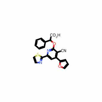 N#Cc1c(-c2ccco2)cc(-c2nccs2)nc1OC(C(=O)O)c1ccccc1